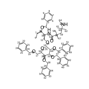 CC[C@@H](OCc1ccccc1)[C@H](CO[C@H]1OC(COCc2ccccc2)[C@H](OCc2ccccc2)C(OCc2ccccc2)C1OCc1ccccc1)NC(=O)C(C)(C)CC(C)(C)NC